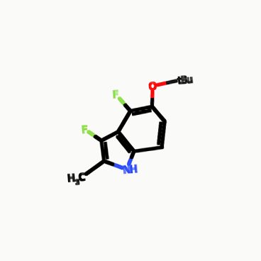 Cc1[nH]c2ccc(OC(C)(C)C)c(F)c2c1F